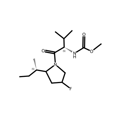 CC[C@H](C)C1CC(F)CN1C(=O)[C@@H](NC(=O)OC)C(C)C